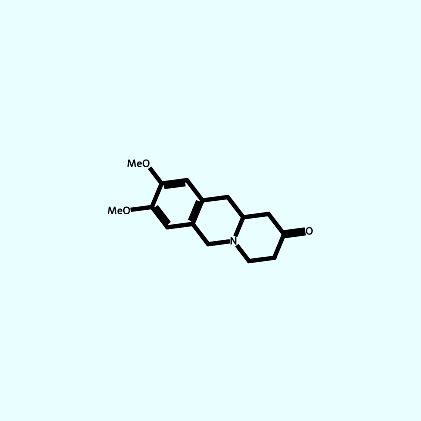 COc1cc2c(cc1OC)CN1CCC(=O)CC1C2